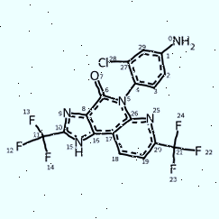 Nc1ccc(-n2c(=O)c3nc(C(F)(F)F)[nH]c3c3ccc(C(F)(F)F)nc32)c(Cl)c1